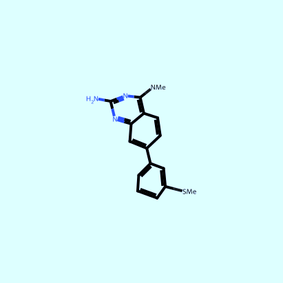 CNc1nc(N)nc2cc(-c3cccc(SC)c3)ccc12